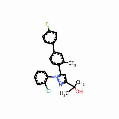 CC(C)(O)c1cc(-c2ccc(-c3ccc(F)cc3)cc2C(F)(F)F)n(-c2ccccc2Cl)n1